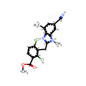 COC(=O)c1ccc(Cl)c(Cc2nc3c(C)cc(C#N)cc3n2C)c1Cl